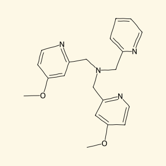 COc1ccnc(CN(Cc2ccccn2)Cc2cc(OC)ccn2)c1